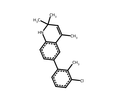 CC1=CC(C)(C)Nc2ccc(-c3cccc(Cl)c3C)cc21